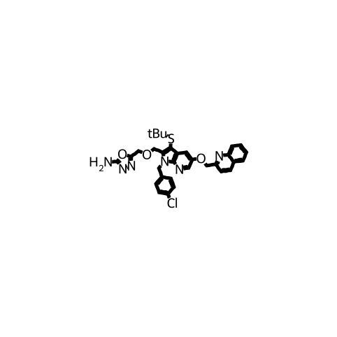 CC(C)(C)Sc1c(COCc2nnc(N)o2)n(Cc2ccc(Cl)cc2)c2ncc(OCc3ccc4ccccc4n3)cc12